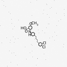 COc1ccc(Nc2ccc(CCCCc3ccc(Cl)c(Cl)c3)cc2)c(C(=O)O)c1